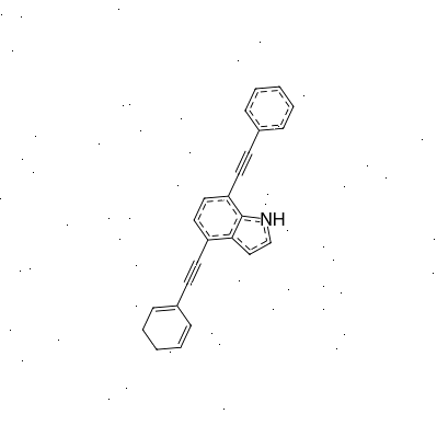 C(#Cc1ccc(C#Cc2ccccc2)c2[nH]ccc12)C1=CCCC=C1